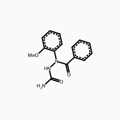 COc1ccccc1N(NC(N)=O)C(=O)c1ccccc1